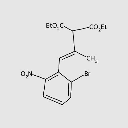 CCOC(=O)C(C(=O)OCC)C(C)=Cc1c(Br)cccc1[N+](=O)[O-]